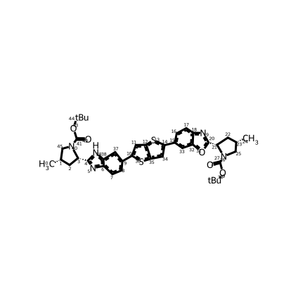 C[C@H]1C[C@@H](c2nc3ccc(-c4cc5sc(-c6ccc7nc([C@@H]8C[C@H](C)CN8C(=O)OC(C)(C)C)oc7c6)cc5s4)cc3[nH]2)N(C(=O)OC(C)(C)C)C1